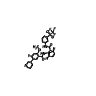 COc1cc(F)c(-c2cccnc2)cc1C(=O)N[C@H]1[C@@H](C(=O)Nc2cccc(S(=O)(=O)C(F)(F)F)c2)[C@@H]2C=C[C@H]1C2